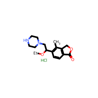 CCOC(CN1CCNCC1)c1ccc2c(c1C)COC2=O.Cl